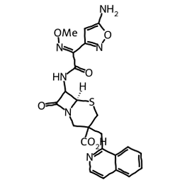 CON=C(C(=O)NC1C(=O)N2CC(Cc3nccc4ccccc34)(C(=O)O)CS[C@H]12)c1cc(N)on1